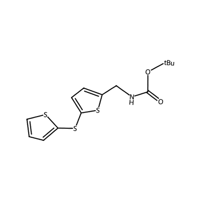 CC(C)(C)OC(=O)NCc1ccc(Sc2cccs2)s1